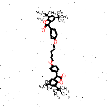 CC(C)(C)c1cc2c(c(C(C)(C)C)c1)OC(=O)C2c1ccc(OCCCCCCOc2ccc(C3C(=O)Oc4c3cc(C(C)(C)C)cc4C(C)(C)C)cc2)cc1